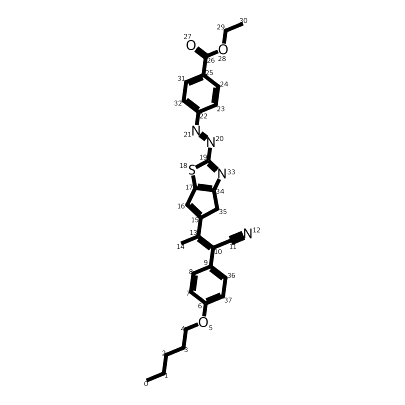 CCCCCOc1ccc(/C(C#N)=C(\C)C2=Cc3sc(/N=N/c4ccc(C(=O)OCC)cc4)nc3C2)cc1